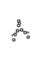 Cc1c(C)n(-c2ccccc2)c2ccc(-c3ccc4c(c3)c3cc(-c5ccc6c(c5)c(C)c(C)n6-c5ccccc5)ccc3n4-c3ccc4c(c3)C(C)(C)c3ccccc3-4)cc12